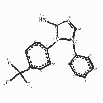 FC(F)(F)c1ccc(N2C(S)N=CN2c2ccccc2)cc1